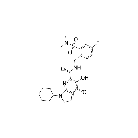 CN(C)S(=O)(=O)c1cc(F)ccc1CNC(=O)c1nc2n(c(=O)c1O)CCN2C1CCCCC1